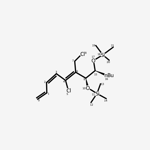 C=C/C=C\C(Cl)=C(/CCl)[C@H](O[Si](C)(C)C)[C@H](CCCC)O[Si](C)(C)C